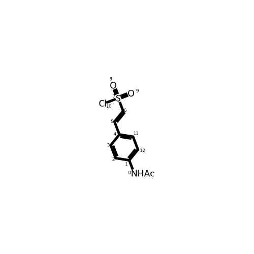 CC(=O)Nc1ccc(C=CS(=O)(=O)Cl)cc1